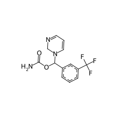 NC(=O)OC(c1cccc(C(F)(F)F)c1)N1C=CC=NC1